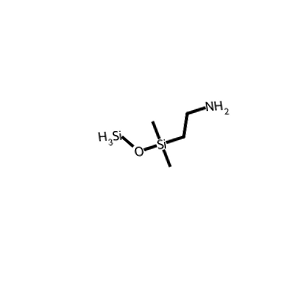 C[Si](C)(CCN)O[SiH3]